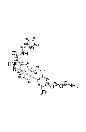 CCc1cc2c(cc1OSOON)CCC1C2CC[C@]2(C)c3n[nH]c(C(=O)NCc4ccco4)c3CC12